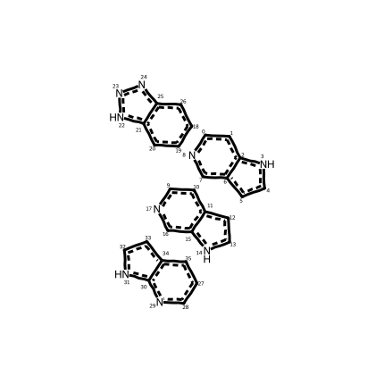 c1cc2[nH]ccc2cn1.c1cc2cc[nH]c2cn1.c1ccc2[nH]nnc2c1.c1cnc2[nH]ccc2c1